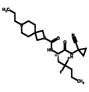 CCCN1CCC2(CC1)CN(C(=O)N[C@@H](CC(F)(F)CCC)C(=O)NC1(C#N)CC1)C2